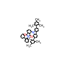 Cc1cc(C)c(-c2ccc3c4ccc(-c5c(C)cc(C)cc5C)cc4n(-c4cccc5c4C(=O)N(c4ccccc4-c4ccccc4)C5=O)c3c2)c(C)c1